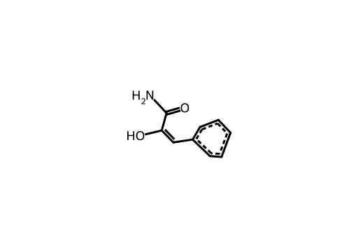 NC(=O)/C(O)=C\c1ccccc1